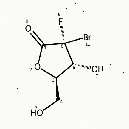 O=C1O[C@H](CO)[C@@H](O)[C@]1(F)Br